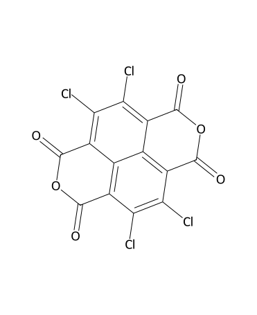 O=C1OC(=O)c2c(Cl)c(Cl)c3c4c(c(Cl)c(Cl)c1c24)C(=O)OC3=O